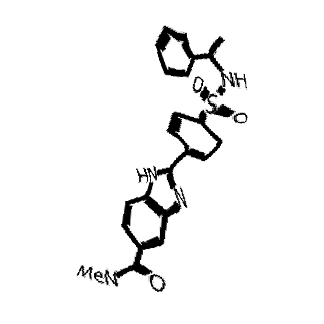 CNC(=O)c1ccc2[nH]c(C3=CCC(S(=O)(=O)NC(C)c4ccccc4)C=C3)nc2c1